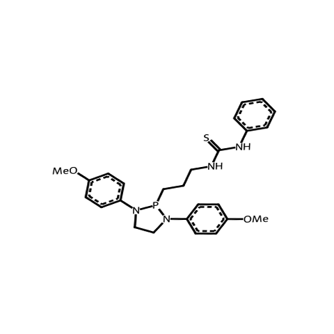 COc1ccc(N2CCN(c3ccc(OC)cc3)P2CCCNC(=S)Nc2ccccc2)cc1